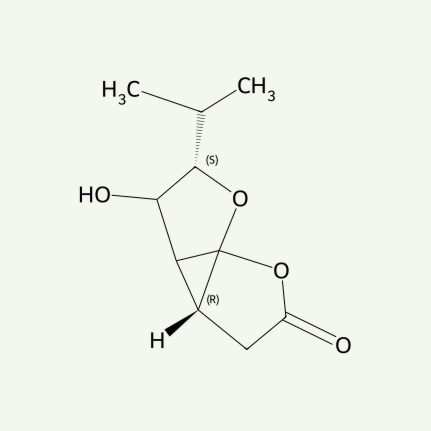 CC(C)[C@@H]1OC23OC(=O)C[C@@H]2C3C1O